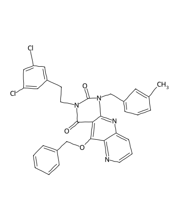 Cc1cccc(Cn2c(=O)n(CCc3cc(Cl)cc(Cl)c3)c(=O)c3c(OCc4ccccc4)c4ncccc4nc32)c1